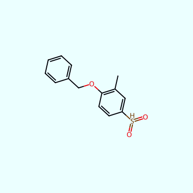 Cc1cc([SH](=O)=O)ccc1OCc1ccccc1